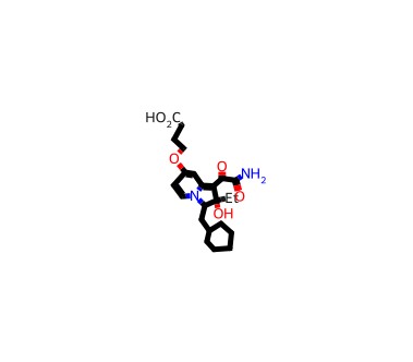 CCC1(O)C(C(=O)C(N)=O)=C2C=C(OCCCC(=O)O)C=CN2C1CC1CCCCC1